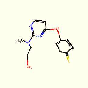 CN(CCO)c1nccc(OC2=CCC(=S)C=C2)n1